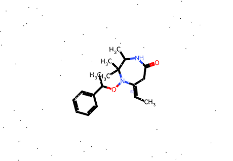 C/C=C1\CC(=O)NC(C)C(C)(C)N1OC(C)c1ccccc1